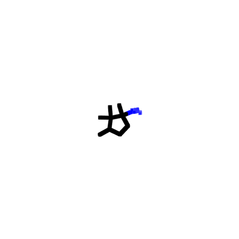 CC1CCC(C)(N)C1(C)C